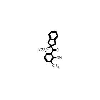 CCOC(=O)C1(C(=O)c2cccc(C)c2O)Cc2ccccc2C1